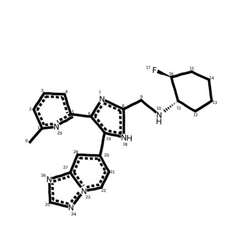 Cc1cccc(-c2nc(CN[C@H]3CCCC[C@@H]3F)[nH]c2-c2ccn3ncnc3c2)n1